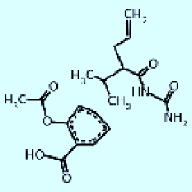 C=CCC(C(=O)NC(N)=O)C(C)C.CC(=O)Oc1ccccc1C(=O)O